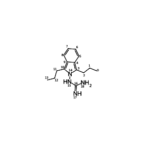 CCCc1c2ccccc2c(CCC)n1NC(=N)N